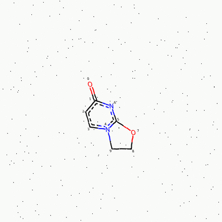 O=c1ccn2c(n1)OCC2